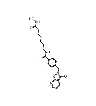 O=C(CCCCCCNC(=O)c1ccc(Cn2sc3ncccc3c2=O)cc1)NO